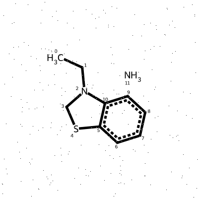 CCN1CSc2ccccc21.N